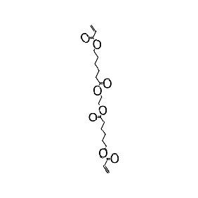 C=CC(=O)OCCCCCC(=O)OCCOC(=O)CCCCCOC(=O)C=C